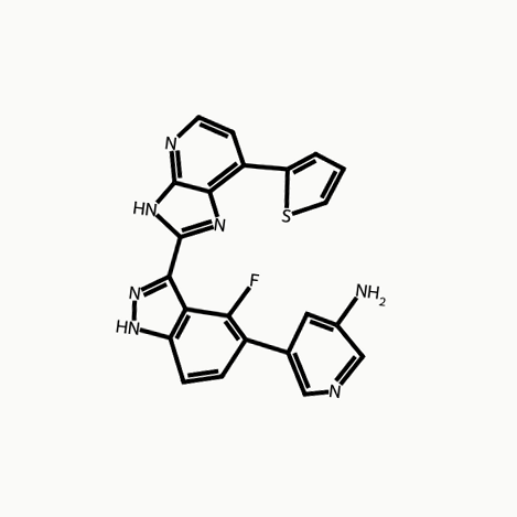 Nc1cncc(-c2ccc3[nH]nc(-c4nc5c(-c6cccs6)ccnc5[nH]4)c3c2F)c1